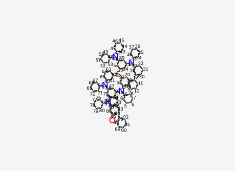 c1ccc(-c2cccc(-c3ccccc3)c2N(c2cccc(Sc3cc(N(c4ccccc4)c4ccccc4)cc(N(c4ccccc4)c4ccccc4)c3)c2)c2cc(N(c3ccccc3)c3ccccc3)cc(N(c3ccccc3)c3ccc4c(c3)oc3ccccc34)c2)cc1